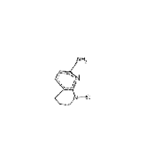 CCN1CCCc2ccc(N)nc21